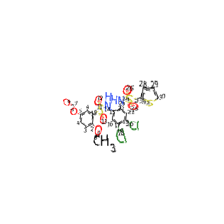 COc1ccc(OC=O)cc1S(=O)(=O)Nc1cc(Cl)c(Cl)cc1NS(=O)(=O)c1cccs1